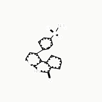 NS(=O)(=O)c1ccc(-c2ccnc3[nH]c(=O)c4ccccc4c23)cc1